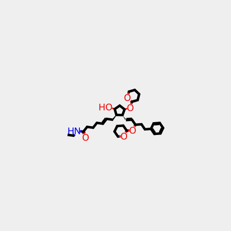 CCNC(=O)CCCC=CC[C@@H]1[C@@H](C=CC(CCc2ccccc2)OC2CCCCO2)[C@H](OC2CCCCO2)C[C@@H]1O